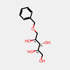 OC[C@@H](O)[C@@H](O)[C@@H](O)COCc1ccccc1